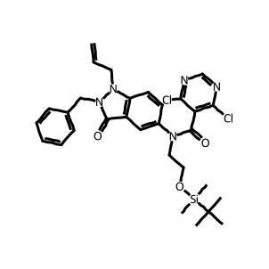 C=CCn1c2ccc(N(CCO[Si](C)(C)C(C)(C)C)C(=O)c3c(Cl)ncnc3Cl)cc2c(=O)n1Cc1ccccc1